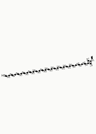 COS(=S)(=S)SSSSSSSSSSSSSSSSSSSSSSSSSSSS